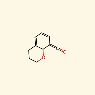 O=C=C1C=CC=C2CCCOC12